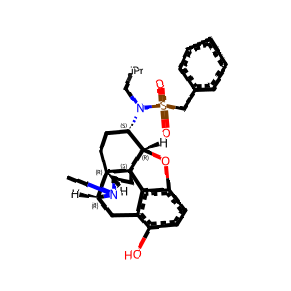 CC(C)CN([C@H]1CC[C@H]2[C@H]3Cc4c(O)ccc5c4[C@@]2(CCN3C)[C@H]1O5)S(=O)(=O)Cc1ccccc1